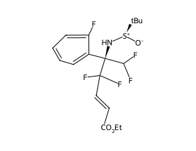 CCOC(=O)/C=C/C(F)(F)[C@](N[S@+]([O-])C(C)(C)C)(c1ccccc1F)C(F)F